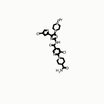 CCCN1CCN(c2sc(NC(=O)c3cnc(N4CCC(C(N)=O)CC4)c(Cl)c3)nc2-c2cc(Cl)cs2)CC1